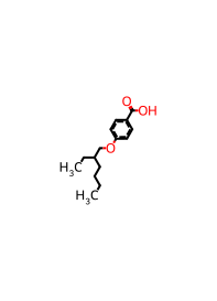 CCCCC(CC)COc1ccc(C(=O)O)cc1